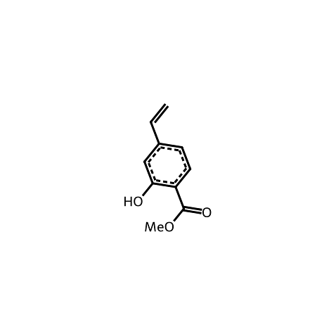 C=Cc1ccc(C(=O)OC)c(O)c1